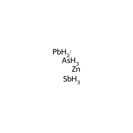 [AsH3].[PbH2].[SbH3].[Zn]